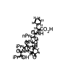 CCCC(NC(=O)[C@@H]1[C@H]2CCC(=O)[C@H]2CN1C(=O)[C@@H](NC(=O)[C@@H](O)C(C)C)C(C)C)C(=O)C(=O)N[C@@H](Cc1ccccc1)C(=O)O